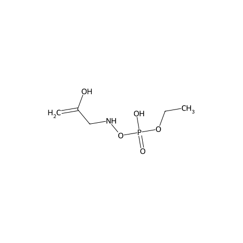 C=C(O)CNOP(=O)(O)OCC